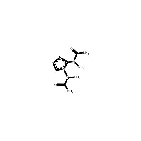 NC(=O)N(N)c1nncn1N(N)C(N)=O